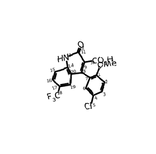 COc1ccc(Cl)cc1-c1c(C(=O)O)c(=O)[nH]c2ccc(C(F)(F)F)cc12